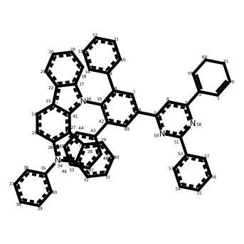 C1=CC(c2cc(-c3cc(-c4ccccc4)c(-n4c5ccccc5c5ccc6c(c7ccccc7n6-c6ccccc6)c54)c(-c4ccccc4)c3)nc(-c3ccccc3)n2)=CCC1